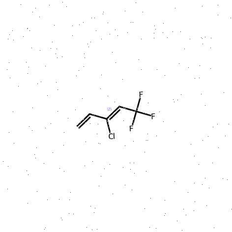 C=C/C(Cl)=C/C(F)(F)F